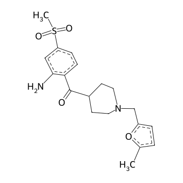 Cc1ccc(CN2CCC(C(=O)c3ccc(S(C)(=O)=O)cc3N)CC2)o1